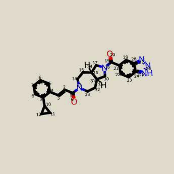 O=C(/C=C/c1ccccc1C1CC1)N1CC[C@@H]2CN(C(=O)c3ccc4[nH]nnc4c3)C[C@@H]2CC1